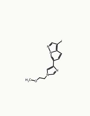 COCCn1cnc(-c2ccc3c(I)cnn3c2)c1